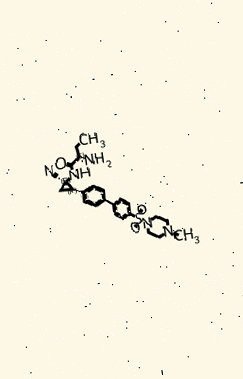 CC[C@H](N)C(=O)N[C@]1(C#N)C[C@@H]1c1ccc(-c2ccc(S(=O)(=O)N3CCN(C)CC3)cc2)cc1